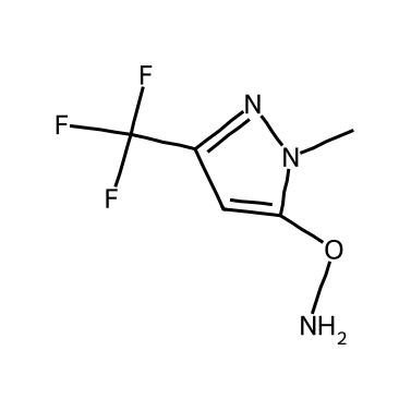 Cn1nc(C(F)(F)F)cc1ON